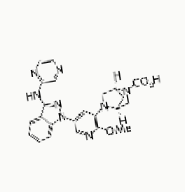 COc1ncc(-n2nc(Nc3cnccn3)c3ccccc32)cc1N1C[C@@H]2C[C@H]1CN2C(=O)O